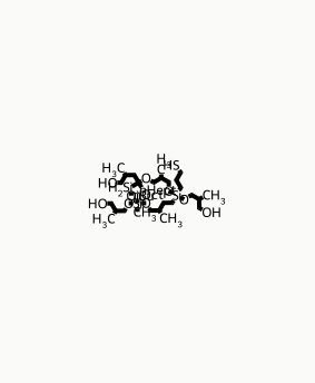 CCCCCCCC[Si](C)(OCC(C)CO)OCC(C)CC[Si](CCCS)(OCC(C)CO)OCC(C)COC(CCCCCCC)(CC(C)CO)[SiH2]OCC(C)C